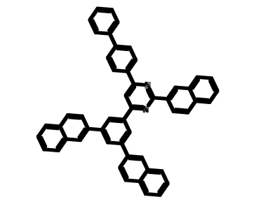 c1ccc(-c2ccc(-c3cc(-c4cc(-c5ccc6ccccc6c5)cc(-c5ccc6ccccc6c5)c4)nc(-c4ccc5ccccc5c4)n3)cc2)cc1